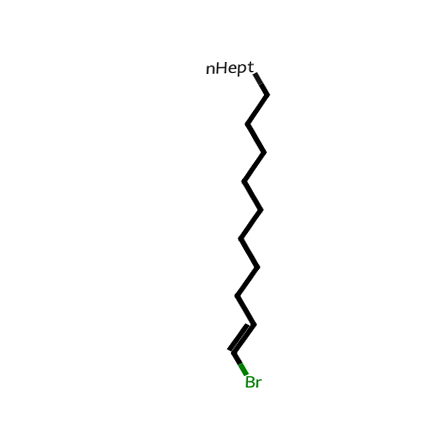 CCCCCCCCCCCCCCCC=CBr